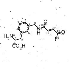 N[C@H](Cc1cccc(CNC(=O)/C=C/C(=O)F)c1)C(=O)O